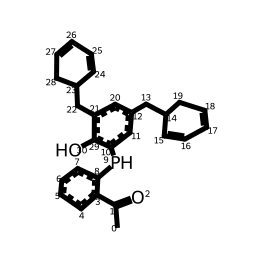 CC(=O)c1ccccc1Pc1cc(CC2C=CC=CC2)cc(CC2C=CC=CC2)c1O